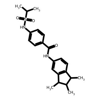 CC1c2ccc(NC(=O)c3ccc(NS(=O)(=O)C(C)C)cc3)cc2C(C)C1C